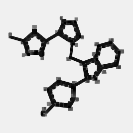 Cc1noc(-c2nccn2Cc2c(-c3ccc(Cl)cc3)nc3ccccn23)n1